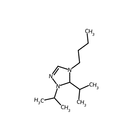 CCCCN1C=NN(C(C)C)C1C(C)C